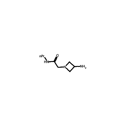 CCCNC(=O)CN1CC(N)C1